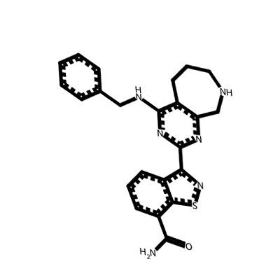 NC(=O)c1cccc2c(-c3nc4c(c(NCc5ccccc5)n3)CCCNC4)nsc12